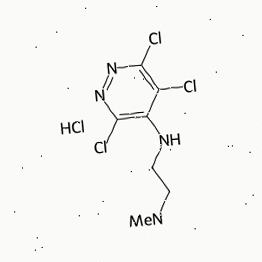 CNCCNc1c(Cl)nnc(Cl)c1Cl.Cl